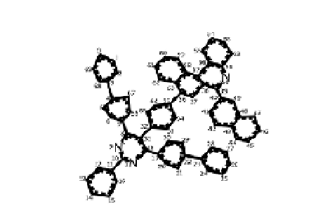 c1ccc(-c2ccc(-c3nc(-c4ccccc4)nc(-c4ccc(-c5ccccc5)cc4)c3-c3ccc(-c4cc5c(-c6ccc7ccccc7c6)nc6ccccc6c5c5ccccc45)cc3)cc2)cc1